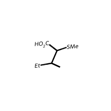 CCC(C)C(SC)C(=O)O